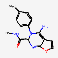 COc1ccc(N2C(N)=c3ccoc3=NC2C(=O)NC(C)C)cc1